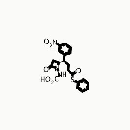 O=C(O)NN1C(=O)C[C@@H]1C(CCC(=O)Sc1ccccc1)c1cccc([N+](=O)[O-])c1